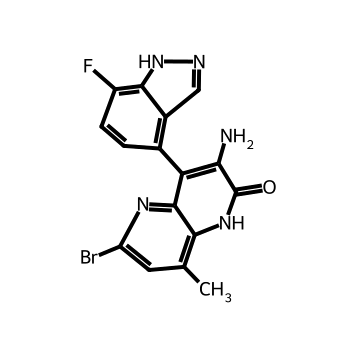 Cc1cc(Br)nc2c(-c3ccc(F)c4[nH]ncc34)c(N)c(=O)[nH]c12